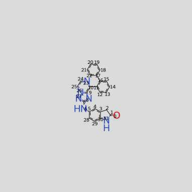 O=C1Cc2cc(Nc3nc4c(-c5ccccc5-c5ccccc5)nccn4n3)ccc2N1